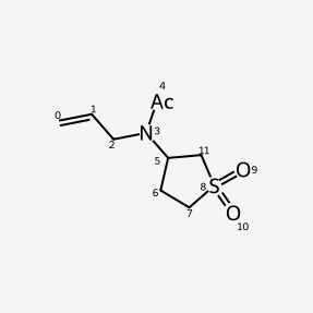 C=CCN(C(C)=O)C1CCS(=O)(=O)C1